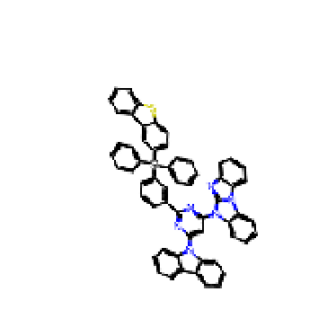 c1ccc([Si](c2ccccc2)(c2cccc(-c3nc(-n4c5ccccc5c5ccccc54)cc(-n4c5ccccc5n5c6ccccc6nc45)n3)c2)c2ccc3sc4ccccc4c3c2)cc1